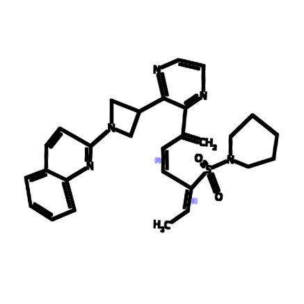 C=C(/C=C\C(=C/C)S(=O)(=O)N1CCCCC1)c1nccnc1C1CN(c2ccc3ccccc3n2)C1